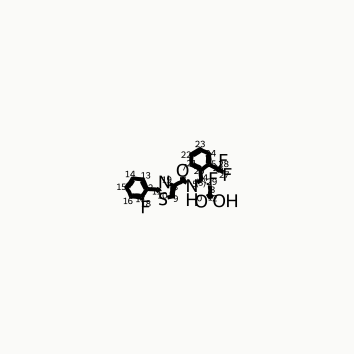 O=C(O)C[C@H](NC(=O)c1csc(-c2ccccc2F)n1)c1ccccc1C(F)(F)F